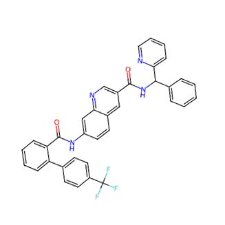 O=C(NC(c1ccccc1)c1ccccn1)c1cnc2cc(NC(=O)c3ccccc3-c3ccc(C(F)(F)F)cc3)ccc2c1